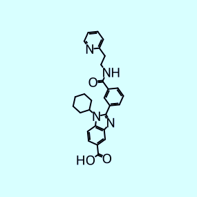 O=C(O)c1ccc2c(c1)nc(-c1cccc(C(=O)NCCc3ccccn3)c1)n2C1CCCCC1